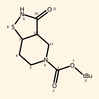 CC(C)(C)OC(=O)N1CCC2SNC(=O)C2C1